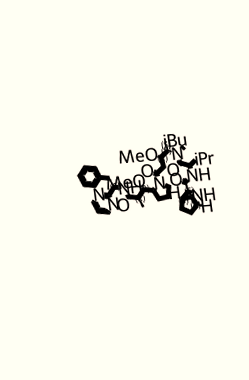 CC[C@H](C)[C@@H]([C@@H](CC(=O)N1CCCC1[C@H](OC)[C@@H](C)C(=O)N[C@@H](Cc1ccccc1)c1ncccn1)OC)N(C)C(=O)C(NC(=O)[C@H]1N[C@@H]2CC[C@H]1C2)C(C)C